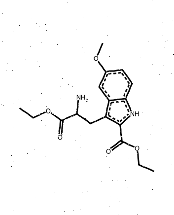 CCOC(=O)c1[nH]c2ccc(OC)cc2c1CC(N)C(=O)OCC